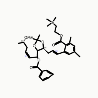 CO[C@@H](C)C/C=C\C(OC(=O)c1ccccc1)C1OC(C)(C)O[C@H]1C/C=C/c1cc(C)cc(C)c1C(=O)OCC[Si](C)(C)C